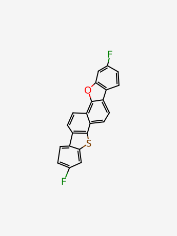 Fc1ccc2c(c1)oc1c2ccc2c1ccc1c3ccc(F)cc3sc12